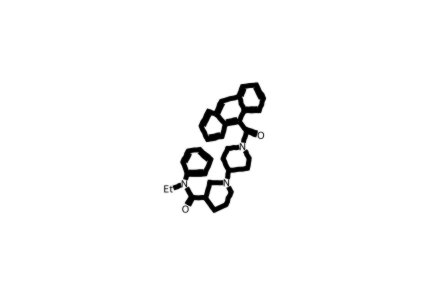 CCN(C(=O)C1CCCN(C2CCN(C(=O)c3c4ccccc4cc4ccccc34)CC2)C1)c1ccccc1